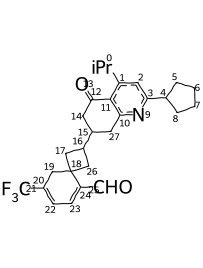 CC(C)c1cc(C2CCCC2)nc2c1C(=O)CC(C1CC3(CC(C(F)(F)F)=CC=C3C=O)C1)C2